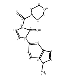 Cn1ccc2cc(-n3nnn(C(=O)N4CCOCC4)c3=O)ccc21